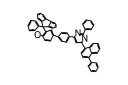 c1ccc(-c2nc(-c3ccc(-c4ccc5c(c4)C4(c6ccccc6O5)c5ccccc5-c5ccccc54)cc3)cc(-c3ccc(-c4ccccc4)c4ccccc34)n2)cc1